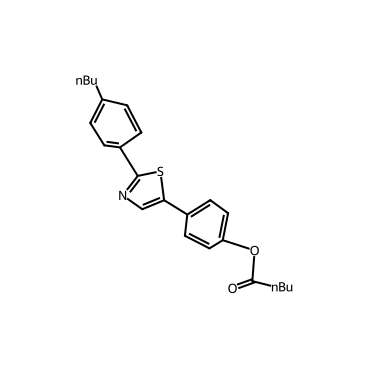 CCCCC(=O)Oc1ccc(-c2cnc(-c3ccc(CCCC)cc3)s2)cc1